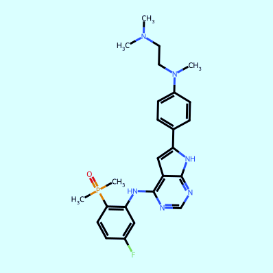 CN(C)CCN(C)c1ccc(-c2cc3c(Nc4cc(F)ccc4P(C)(C)=O)ncnc3[nH]2)cc1